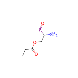 CCC(=O)OCC(N)P=O